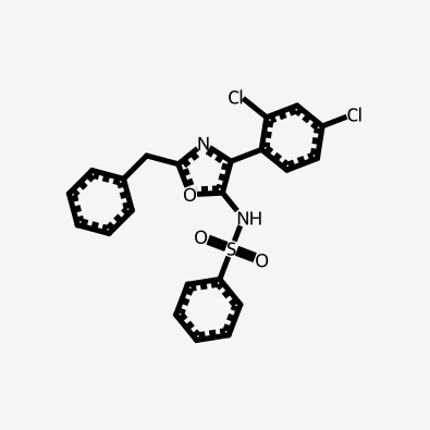 O=S(=O)(Nc1oc(Cc2ccccc2)nc1-c1ccc(Cl)cc1Cl)c1ccccc1